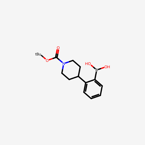 CC(C)(C)OC(=O)N1CCC(c2ccccc2B(O)O)CC1